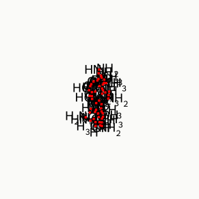 CSCC[C@H](NC(=O)[C@@H]1CCCN1C(=O)[C@H](C)N)C(=O)N[C@@H](CO)C(=O)N[C@@H](C)C(=O)N[C@@H](C)C(=O)N[C@@H](CCCNC(=N)N)C(=O)N[C@@H](CO)C(=O)N[C@@H](CO)C(=O)N[C@@H](CO)C(=O)N1CCC[C@H]1C(=O)N[C@@H](CO)C(=O)NCC(=O)N[C@@H](CO)C(=O)N[C@@H](C)C(=O)N[C@@H](Cc1c[nH]c2ccccc12)C(=O)N[C@H](C(=O)N[C@@H](CC(N)=O)C(=O)N[C@H](C(=O)N[C@@H](CCCNC(=N)N)C(=O)O)[C@@H](C)O)[C@@H](C)O